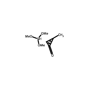 CO[SiH](OC)OC.Cc1cc1=O